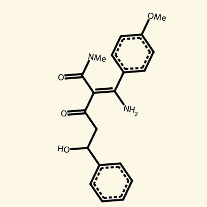 CNC(=O)C(C(=O)CC(O)c1ccccc1)=C(N)c1ccc(OC)cc1